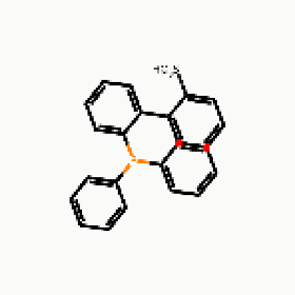 O=S(=O)(O)c1ccccc1-c1ccccc1P(c1ccccc1)c1ccccc1